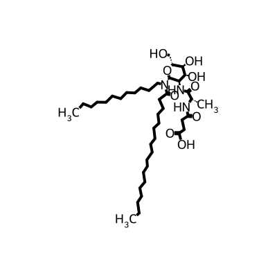 CCCCCCCCCCCCCCCCCC(=O)N(CCCCCCCCCCCC)[C@@H]1O[C@H](CO)[C@@H](O)[C@H](O)[C@H]1NC(=O)[C@H](C)NC(=O)CCC(=O)O